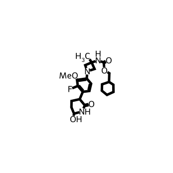 COc1c(N2CC(C)(NC(=O)OCC3CCCCC3)C2)ccc(C2CCC(O)NC2=O)c1F